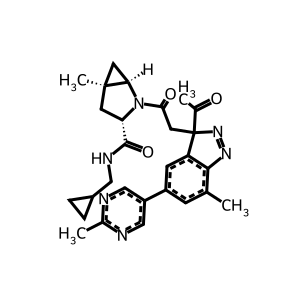 CC(=O)C1(CC(=O)N2[C@H](C(=O)NCC3CC3)C[C@@]3(C)C[C@@H]23)N=Nc2c(C)cc(-c3cnc(C)nc3)cc21